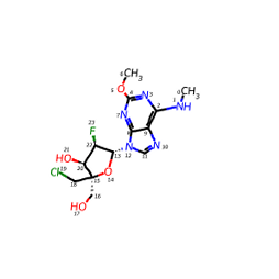 CNc1nc(OC)nc2c1ncn2[C@@H]1O[C@@](CO)(CCl)[C@@H](O)[C@H]1F